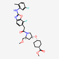 COC[C@@H]1C[C@@H](O[C@H]2CC[C@H](C(=O)OC)CC2)CN1C(=O)Cc1ccc2nc(Nc3cc(F)ccc3C)oc2c1F